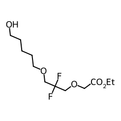 CCOC(=O)COCC(F)(F)COCCCCCO